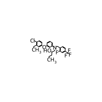 CCCC(O)CN(Cc1ccc(C(F)(F)F)cc1F)c1cccc(Oc2ccc(Cl)c(CC)c2)c1